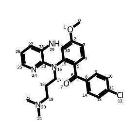 COc1ccc(C(=O)c2ccc(Cl)cc2)c(N(CCCN(C)C)c2ncccc2N)c1